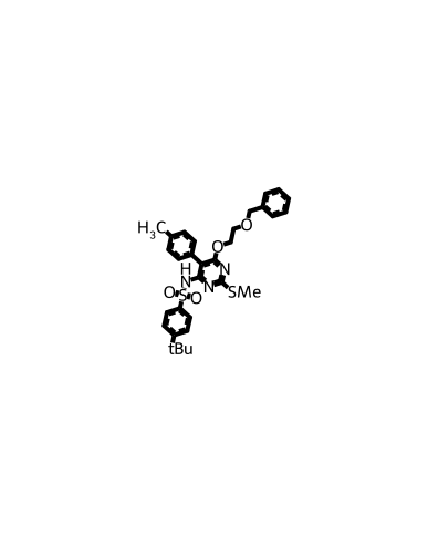 CSc1nc(NS(=O)(=O)c2ccc(C(C)(C)C)cc2)c(-c2ccc(C)cc2)c(OCCOCc2ccccc2)n1